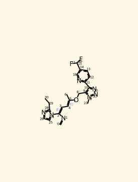 C=N/C(=C\C=C(/C)OCc1c(-c2ccc(C(F)F)cn2)nnn1C)n1ccnc1CC